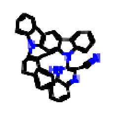 N#CC1=C(n2c3ccccc3c3cc4c5ccccc5n5c6ccc7ccccc7c6c(c32)c45)NC2C=CC=CC2=N1